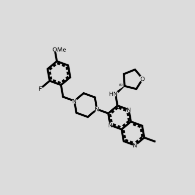 COc1ccc(CN2CCN(c3nc4cnc(C)cc4nc3N[C@H]3CCOC3)CC2)c(F)c1